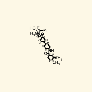 Cc1ccc(C(=O)Nc2ccc(-c3ccc(S(=O)(=O)N(C)[C@H](C(=O)O)C(C)C)cc3)cc2)cc1C